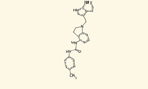 Cc1ccc(NC(=O)Nc2cccc3c2CCN3Cc2c[nH]c3ncccc23)cc1